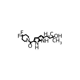 CC(C)(O)CCc1cc2cc(C(=O)N3CCC(F)(F)CC3)[nH]c2[nH]1